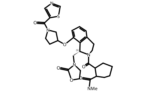 CNC(=O)C1CCCCC1C(=O)N1CCc2cccc(OC3CCN(C(=O)c4cncs4)C3)c2[C@H]1CN1CCOC1=O